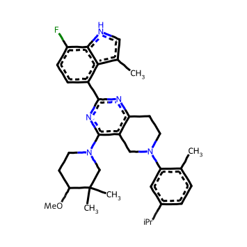 COC1CCN(c2nc(-c3ccc(F)c4[nH]cc(C)c34)nc3c2CN(c2cc(C(C)C)ccc2C)CC3)CC1(C)C